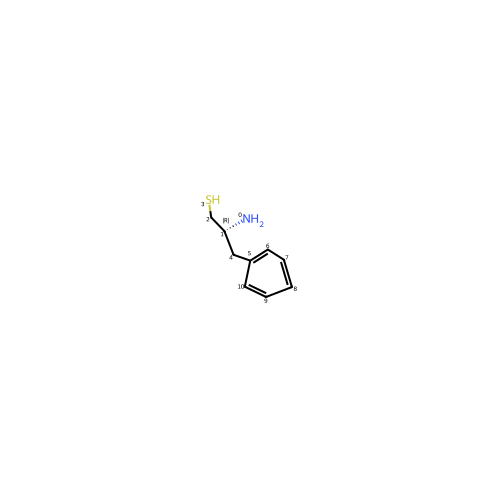 N[C@@H](CS)Cc1ccccc1